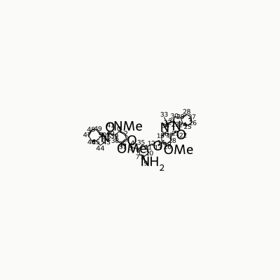 CNc1cc(OCc2cc(N)cc(COc3cc4c(cc3OC)C(=O)N3c5ccccc5CC3C(C)=N4)c2)c(OC)cc1C(=O)N1CCc2ccccc21